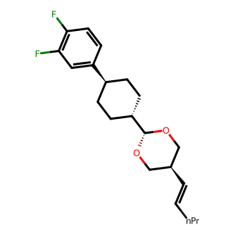 CCC/C=C/[C@H]1CO[C@H]([C@H]2CC[C@H](c3ccc(F)c(F)c3)CC2)OC1